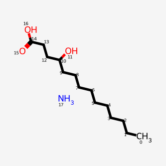 CCCCCCCCCCC(O)CCC(=O)O.N